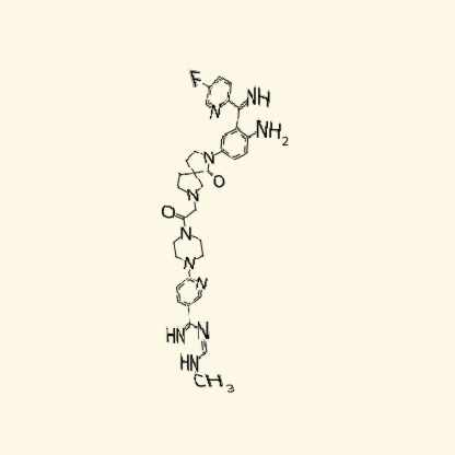 CN/C=N\C(=N)c1ccc(N2CCN(C(=O)CN3CC[C@]4(CCN(c5ccc(N)c(C(=N)c6ccc(F)cn6)c5)C4=O)C3)CC2)nc1